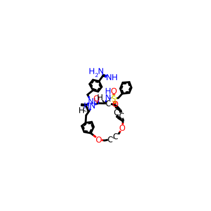 C=C(NCc1ccc(C(=N)N)cc1)[C@@H]1Cc2ccc(cc2)OCCCCOc2ccc(cc2)C[C@@H](NS(=O)(=O)Cc2ccccc2)C(=O)N1